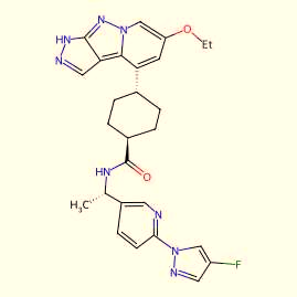 CCOc1cc([C@H]2CC[C@H](C(=O)N[C@@H](C)c3ccc(-n4cc(F)cn4)nc3)CC2)c2c3cn[nH]c3nn2c1